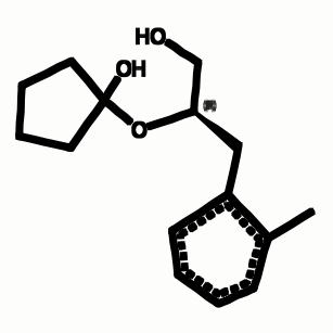 Cc1ccccc1C[C@H](CO)OC1(O)CCCC1